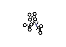 C=C/C(=C\c1c(C)n(-c2ccccc2)c2ccccc12)N(c1ccc2c(c1)C(c1ccccc1)(c1ccccc1)c1ccccc1-2)c1ccc2c(c1)c1ccccc1n2-c1ccccc1